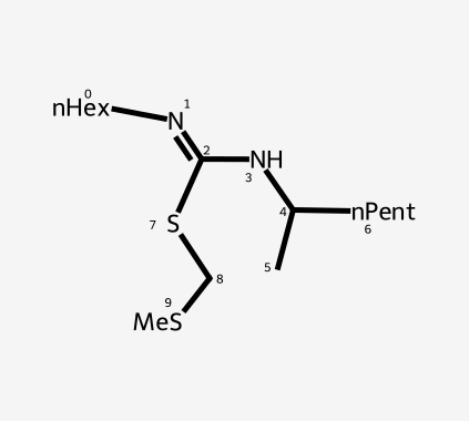 CCCCCCN=C(NC(C)CCCCC)SCSC